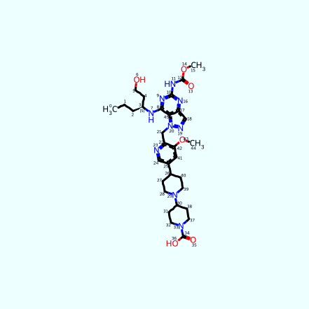 CCC[C@@H](CCO)Nc1nc(NC(=O)OC)nc2cnn(Cc3ncc(C4CCN(C5CCN(C(=O)O)CC5)CC4)cc3OC)c12